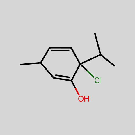 CC1C=CC(Cl)(C(C)C)C(O)=C1